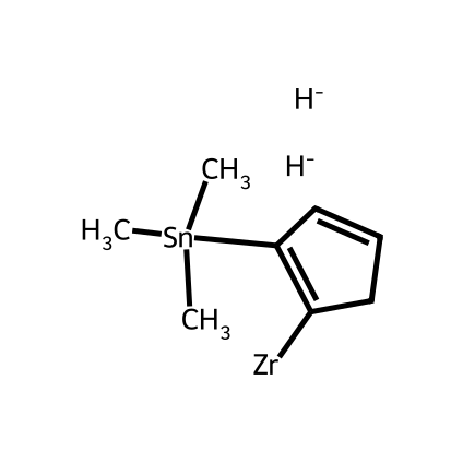 [CH3][Sn]([CH3])([CH3])[C]1=[C]([Zr])CC=C1.[H-].[H-]